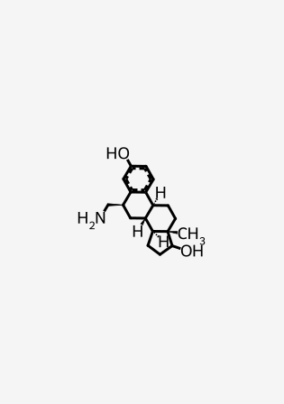 C[C@]12CC[C@@H]3c4ccc(O)cc4[C@H](CN)C[C@H]3[C@@H]1CCC2O